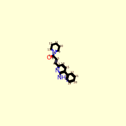 Nc1nc(/C=C/C(=O)N2CCCCC2)ccc1-c1ccccc1